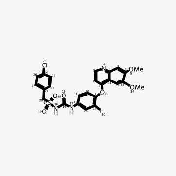 COc1cc2nccc(Oc3ccc(NC(=O)NS(=O)(=O)Cc4ccc(Cl)cc4)cc3F)c2cc1OC